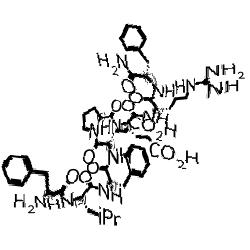 CC(C)C[C@H](NC(=O)[C@@H](N)Cc1ccccc1)C(=O)N[C@@H](Cc1ccccc1)C(=O)N[C@@H](CCC(=O)O)C(=O)N1CCC[C@H]1C(=O)N[C@@H](CCC(=O)O)C(=O)N[C@@H](CCCNC(=N)N)C(=O)N[C@@H](Cc1ccccc1)C(N)=O